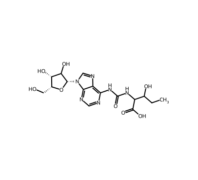 CCC(O)C(NC(=O)Nc1ncnc2c1ncn2[C@@H]1O[C@H](CO)[C@H](O)C1O)C(=O)O